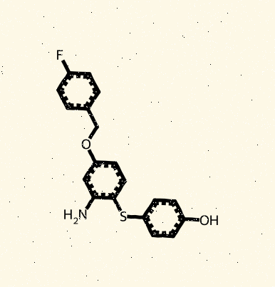 Nc1cc(OCc2ccc(F)cc2)ccc1Sc1ccc(O)cc1